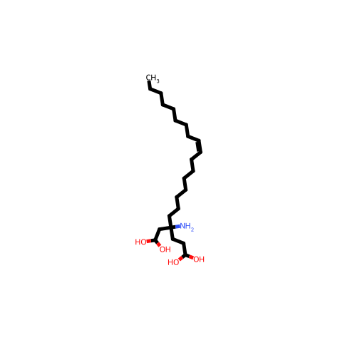 CCCCCCCC/C=C\CCCCCCCC(N)(CCC(O)O)CC(O)O